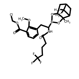 COc1c(CC(NC(=O)CCCC(F)(F)F)B2OC3CC4CC(C4(C)C)C3(C)O2)cccc1C(=O)OCCl